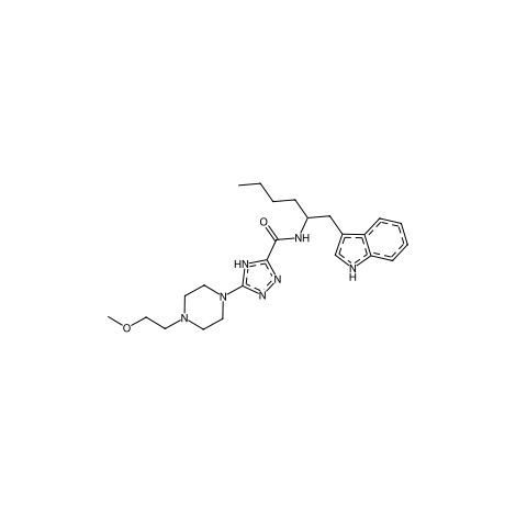 CCCCC(Cc1c[nH]c2ccccc12)NC(=O)c1nnc(N2CCN(CCOC)CC2)[nH]1